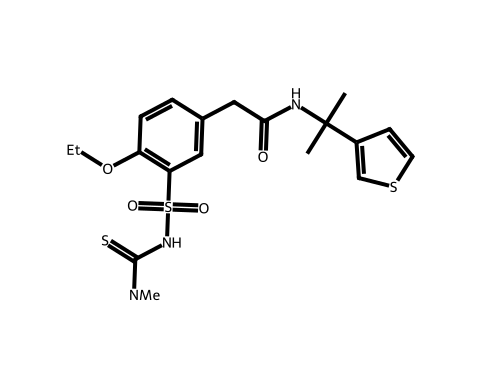 CCOc1ccc(CC(=O)NC(C)(C)c2ccsc2)cc1S(=O)(=O)NC(=S)NC